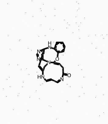 O=C1C/C=C2/Oc3ccccc3Nc3ncnc4c3C=C(CN24)N/C=C/C=N\1